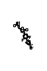 CC(=O)NCC1CN(c2cc(F)c(-n3cc4c(c3)[S+]4[O-])c(F)c2)C(=O)O1